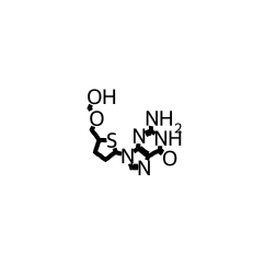 Nc1nc2c(ncn2C2CCC(COCO)S2)c(=O)[nH]1